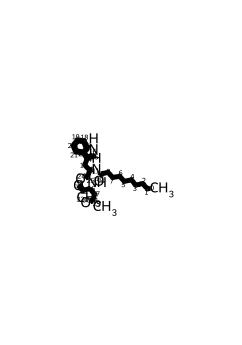 CCCCCCCCCC(=O)NC(Cc1c[nH]c2ccccc12)C(=O)NC(CC(C)=O)C(C)=O